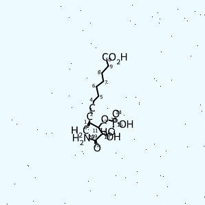 C=C(CCCCCCCCC(=O)O)C(OP(=O)(O)O)C(O)C(N)=O